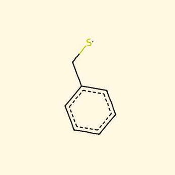 [S]Cc1ccccc1